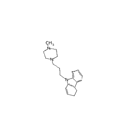 CN1CCN(CCCn2c3c(c4ccccc42)CCC=C3)CC1